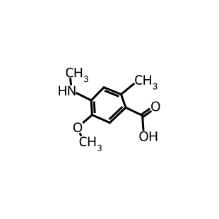 CNc1cc(C)c(C(=O)O)cc1OC